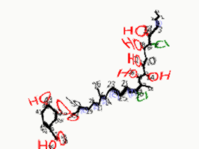 CC/C=C/C(O)C(Cl)C(O)CC(O)C(O)C(O)C(C)/C(Cl)=C/C=C/C=C(C)/C=C/C=C/C(=O)OC1CC(C(=O)O)=CCC1O